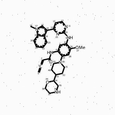 C=C=CC(=O)Nc1cc(Nc2nccc(-c3cn(C)c4ccccc34)n2)c(OC)cc1N1CCC(C2CNCCO2)CC1